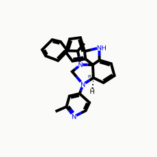 Cc1cc(N2CN(C(C)c3ccccc3)C34C(=CC=C[C@@H]23)Nc2ccccc24)ccn1